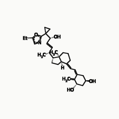 C=C1/C(=C\C=C2/CCC[C@@]3(C)[C@@H]2CC[C@@H]3[C@H](C)/C=C/[C@@H](O)C2(c3ncc(CC)o3)CC2)C[C@@H](O)C[C@@H]1O